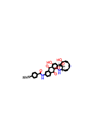 CNc1ccc(C(=O)Nc2ccc3c(c2)C(=O)c2c(O)cc4c(c2C3=O)N[C@H]2C#C/C=C\C#C[C@@H](O)[C@@]43O[C@@]23[C@@H](C)O)cc1